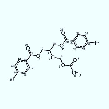 CC(=O)OCOC(COC(=O)c1ccc(I)cc1)COC(=O)c1ccc(I)cc1